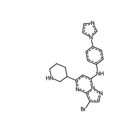 Brc1cnn2c(Nc3ccc(-n4ccnc4)cc3)cc(C3CCCNC3)nc12